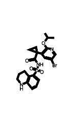 CC(C)Oc1ncc(Br)cc1C1(C(=O)NS(=O)(=O)c2cccc3c2CCCN3)CC1